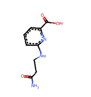 NC(=O)CCNc1cccc(C(=O)O)n1